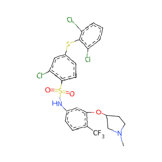 CN1CCC(Oc2cc(NS(=O)(=O)c3ccc(Sc4c(Cl)cccc4Cl)cc3Cl)ccc2C(F)(F)F)C1